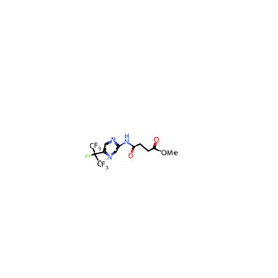 COC(=O)CCC(=O)Nc1cnc(C(F)(C(F)(F)F)C(F)(F)F)cn1